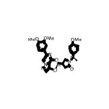 COc1ccc([C@@H](C)N2CC([C@@H](C)Oc3nc(-c4ccc(OC)c(OC)c4)cn4ncc(Cl)c34)CC2=O)cc1